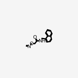 C=NOCC(=O)NCc1cccc2ccccc12